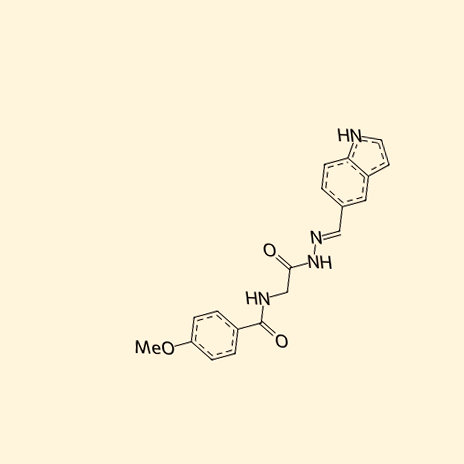 COc1ccc(C(=O)NCC(=O)N/N=C/c2ccc3[nH]ccc3c2)cc1